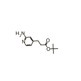 CC(C)(C)OC(=O)CCc1ccnc(N)c1